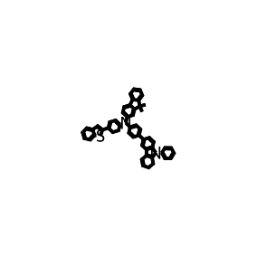 CC1(C)c2ccccc2-c2ccc(N(C3=CC=C(c4cc5ccccc5s4)CC3)c3ccc(-c4ccc5c(c4)c4c(n5-c5ccccc5)CCC=C4)cc3)cc21